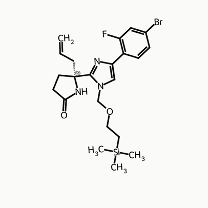 C=CC[C@@]1(c2nc(-c3ccc(Br)cc3F)cn2COCC[Si](C)(C)C)CCC(=O)N1